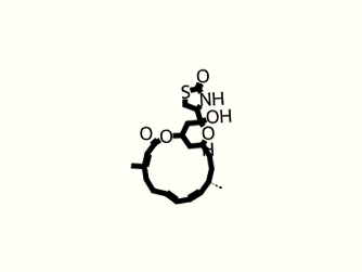 C/C1=C/C(=O)OC2C[C@@H](CC[C@H](C)/C=C\C=C\CC1)OC(O)(C1CSC(=O)N1)C2